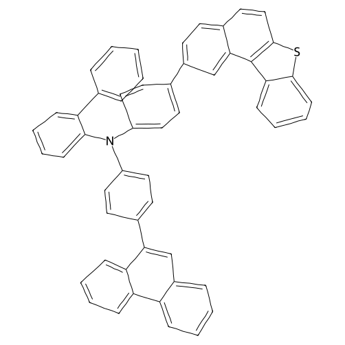 c1ccc(-c2ccccc2N(c2ccc(-c3ccc4ccc5sc6ccccc6c5c4c3)cc2)c2ccc(-c3cc4ccccc4c4ccccc34)cc2)cc1